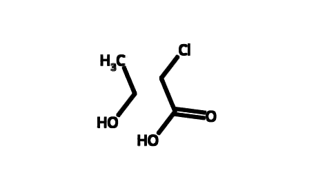 CCO.O=C(O)CCl